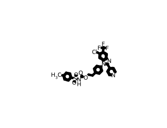 Cc1ccc(S(=O)(=O)NC(=O)OCCc2ccc(-n3c(-c4ccncc4)nc4cc(C(F)(F)F)c(Cl)cc43)cc2)cc1